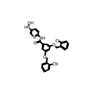 N#Cc1ccccc1COc1cc(OCc2ccccc2Cl)cc(C(=O)Nc2ccc(NO)cn2)c1